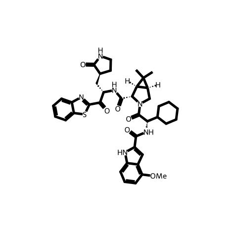 COc1cccc2[nH]c(C(=O)N[C@H](C(=O)N3C[C@H]4[C@@H]([C@H]3C(=O)N[C@@H](C[C@@H]3CCNC3=O)C(=O)c3nc5ccccc5s3)C4(C)C)C3CCCCC3)cc12